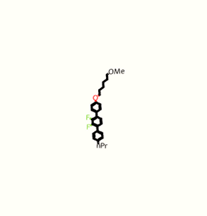 CCCc1ccc(-c2ccc(-c3ccc(OCCCCCCOC)cc3)c(F)c2F)cc1